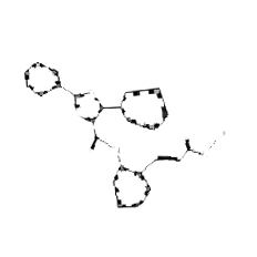 O=C(/C=C/c1ccccc1NC(=O)c1sc(-c2ccccc2)nc1-c1ccccc1)NO